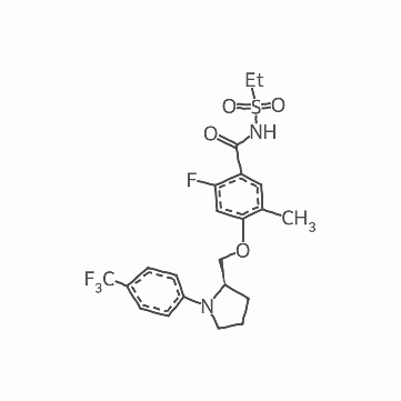 CCS(=O)(=O)NC(=O)c1cc(C)c(OC[C@H]2CCCN2c2ccc(C(F)(F)F)cc2)cc1F